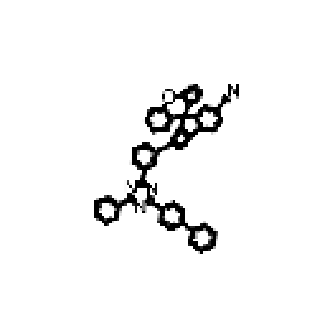 N#Cc1ccc2c(c1)C1(c3ccccc3Oc3ccccc31)c1cc(-c3cccc(-c4nc(-c5ccccc5)nc(-c5ccc(-c6ccccc6)cc5)n4)c3)ccc1-2